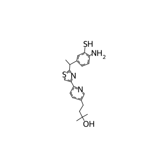 CC(c1ccc(N)c(S)c1)c1nc(-c2ccc(CCC(C)(C)O)cn2)cs1